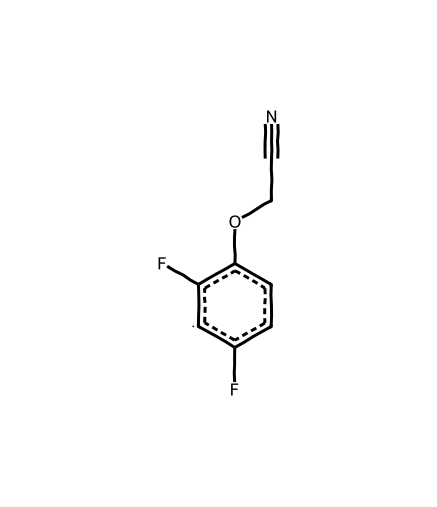 N#CCOc1ccc(F)[c]c1F